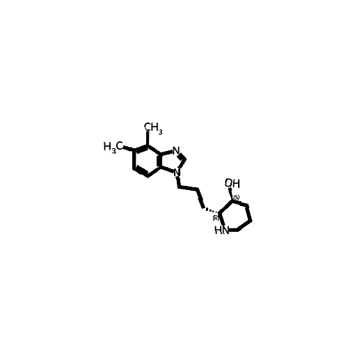 Cc1ccc2c(ncn2CCC[C@H]2NCCC[C@@H]2O)c1C